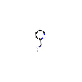 CCN=Cc1ccccn1